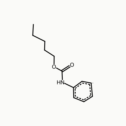 CCCCCOC(=O)Nc1c[c]ccc1